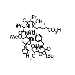 CCC(C)C(C(CC(=O)N1CCC[C@H]1C(OC)C(C)C(=O)NC(Cc1ccc(O)cc1)C(=O)OC(C)(C)C)OC)N(C)C(=O)C(NC(=O)C(C(C)C)N(C)CCCCCC(=O)O)C(C)C